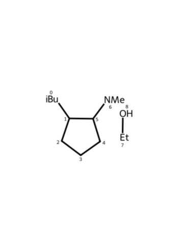 CCC(C)C1CCCC1NC.CCO